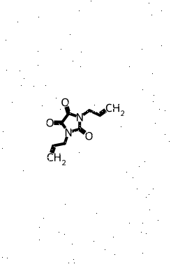 C=CCN1C(=O)C(=O)N(CC=C)C1=O